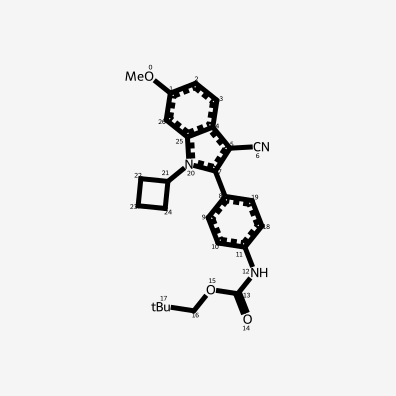 COc1ccc2c(C#N)c(-c3ccc(NC(=O)OCC(C)(C)C)cc3)n(C3CCC3)c2c1